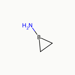 NB1CC1